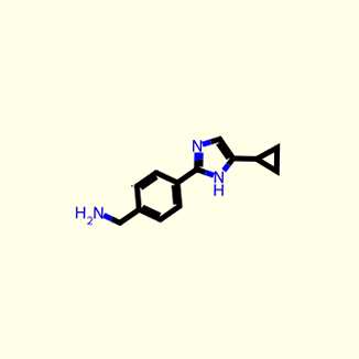 NCc1[c]cc(-c2ncc(C3CC3)[nH]2)cc1